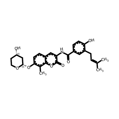 CC(C)=CCc1cc(C(=O)Nc2cc3ccc(O[C@H]4C[C@@H](O)CCO4)c(C)c3oc2=O)ccc1O